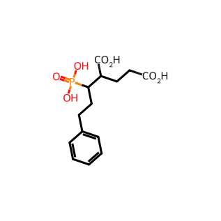 O=C(O)CCC(C(=O)O)C(CCc1ccccc1)P(=O)(O)O